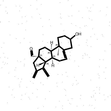 C=C1C[C@@]2(C=O)CC[C@@H]3[C@@H](CC=C4CC(O)CC[C@@]43C)[C@@H]2C1=C